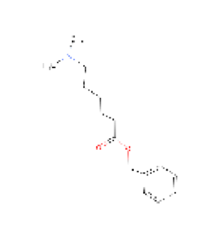 CN(C)CCCCCC(=O)OCc1ccccc1